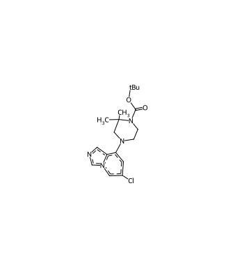 CC(C)(C)OC(=O)N1CCN(c2cc(Cl)cn3cncc23)CC1(C)C